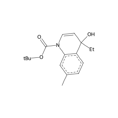 CCC1(O)C=CN(C(=O)OC(C)(C)C)c2cc(C)ccc21